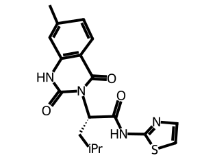 Cc1ccc2c(=O)n([C@@H](CC(C)C)C(=O)Nc3nccs3)c(=O)[nH]c2c1